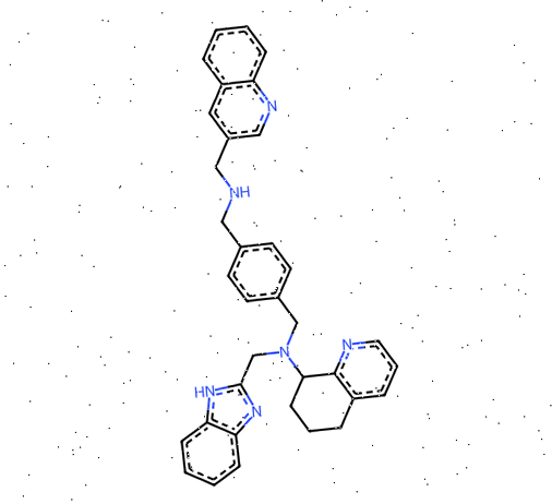 c1cnc2c(c1)CCCC2N(Cc1ccc(CNCc2cnc3ccccc3c2)cc1)Cc1nc2ccccc2[nH]1